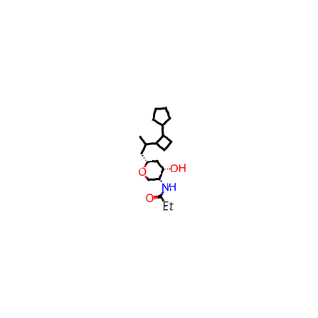 CCC(=O)N[C@@H]1CO[C@H](CC(C)C2CCC2C2CCCC2)C[C@@H]1O